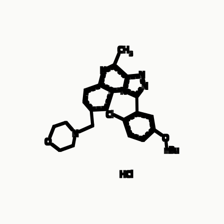 CCCCOc1ccc(Cl)c(-c2nnc3c(C)nc4ccc(CN5CCOCC5)cc4n23)c1.Cl